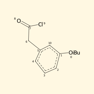 CC(C)COc1cccc(CC(=O)Cl)c1